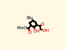 CCC(C)c1cc(C(=O)CO)c(O)c(C(=O)OC)c1